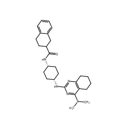 CN(C)c1nc(N[C@H]2CC[C@@H](NC(=O)C3CCc4ccccc4C3)CC2)nc2c1CCCC2